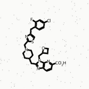 O=C(O)c1ccc2nc(CC3CCN(Cc4nc(Cc5ccc(Cl)cc5F)cs4)CC3)n(CC3CCO3)c2n1